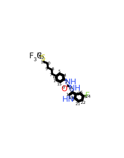 O=C(Nc1ccc(CCCCCSC(F)(F)F)cc1)Nc1c[nH]c2ccc(F)cc12